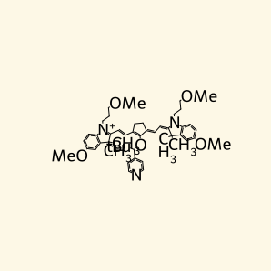 COCCCN1/C(=C/C=C2\CCC(/C=C/C3=[N+](CCCOC)c4ccc(OC)cc4C3(C)C)=C2OC(c2ccncc2)C(C)(C)C)C(C)(C)c2cc(OC)ccc21